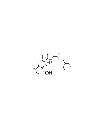 CCC(CC[C@@H](C)[C@H]1CC[C@H]2C3=CCC4C(C)CCC(O)[C@]4(C)[C@H]3CC[C@]12C)C(C)C